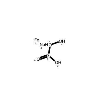 O=S(O)OO.[Fe].[NaH]